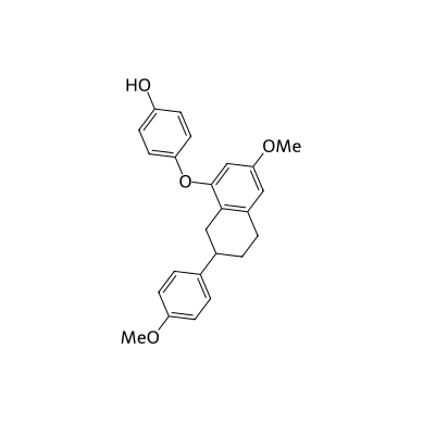 COc1ccc(C2CCc3cc(OC)cc(Oc4ccc(O)cc4)c3C2)cc1